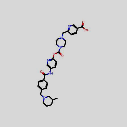 CC1CCCN(Cc2ccc(C(=O)Nc3ccc(OC(=O)N4CCN(Cc5ccc(C(=O)O)cn5)CC4)nc3)cc2)C1